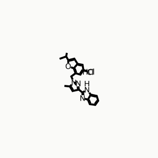 Cc1cc(-c2nc3ccccc3[nH]2)nn1Cc1cc(Cl)cc2cc(C(C)C)oc12.Cl